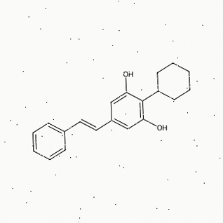 Oc1cc(/C=C/c2ccccc2)cc(O)c1C1CCCCC1